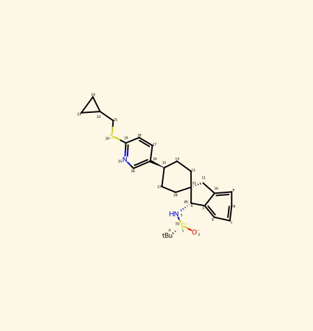 CC(C)(C)[S@@+]([O-])N[C@H]1c2ccccc2C[C@]12CC[C@H](c1ccc(SCC3CC3)nc1)CC2